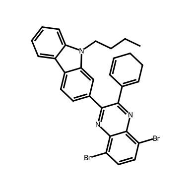 CCCCn1c2ccccc2c2ccc(-c3nc4c(Br)ccc(Br)c4nc3C3=CCCC=C3)cc21